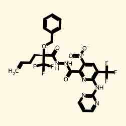 C=CCC[C@@](OCc1ccccc1)(C(=O)NNC(=O)c1nc(Nc2ncccn2)c(C(F)(F)F)cc1[N+](=O)[O-])C(F)(F)F